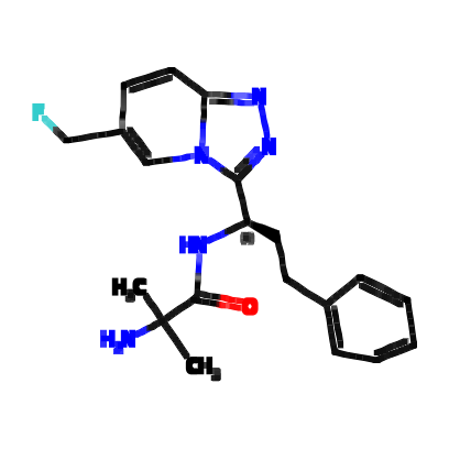 CC(C)(N)C(=O)N[C@H](CCc1ccccc1)c1nnc2ccc(CF)cn12